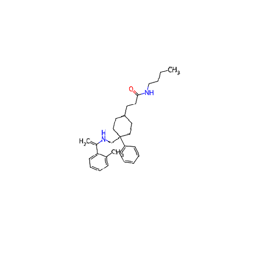 C=C(NCC1(c2ccccc2)CCC(CCC(=O)NCCCC)CC1)c1ccccc1C